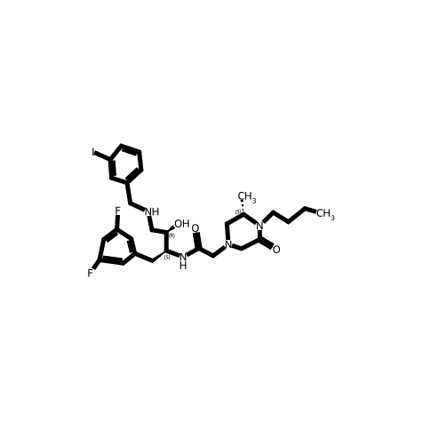 CCCCN1C(=O)CN(CC(=O)N[C@@H](Cc2cc(F)cc(F)c2)[C@H](O)CNCc2cccc(I)c2)C[C@@H]1C